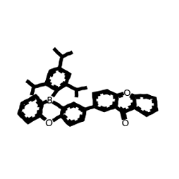 CC(C)c1cc(C(C)C)c(B2c3ccccc3Oc3ccc(-c4ccc5oc6ccccc6c(=O)c5c4)cc32)c(C(C)C)c1